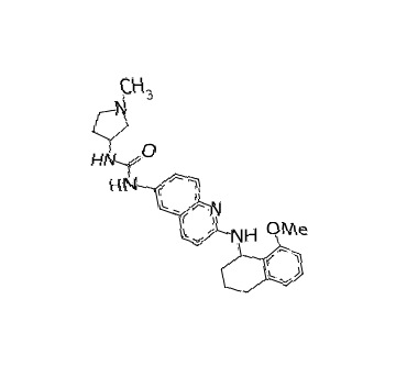 COc1cccc2c1C(Nc1ccc3cc(NC(=O)NC4CCN(C)C4)ccc3n1)CCC2